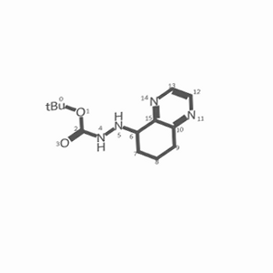 CC(C)(C)OC(=O)NNC1CCCc2nccnc21